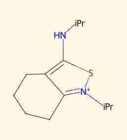 CC(C)Nc1s[n+](C(C)C)c2c1CCCC2